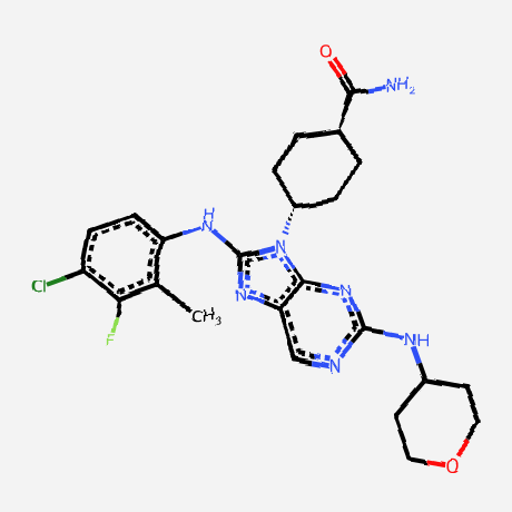 Cc1c(Nc2nc3cnc(NC4CCOCC4)nc3n2[C@H]2CC[C@H](C(N)=O)CC2)ccc(Cl)c1F